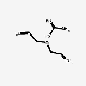 C=CCOCC=C.N=C(N)S